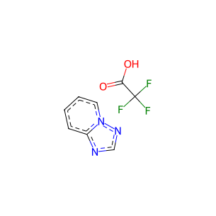 O=C(O)C(F)(F)F.c1ccn2ncnc2c1